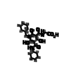 O=C(O)CNC(=O)c1c(O)c(C(=O)NC2CCCCC2)c(O)n(CC2CCCCC2)c1=O